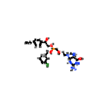 COc1ccc(C(=O)COP(COCCn2cnc3c(=O)[nH]c(N)nc32)OCc2cccc(Cl)c2)cc1